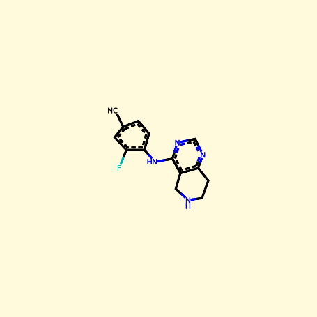 N#Cc1ccc(Nc2ncnc3c2CNCC3)c(F)c1